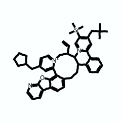 C=CC1C[n+]2ccc(CC3CCCC3)cc2-c2c(ccc3c2oc2ncccc23)CCC2c3ccccc3-c3cc(CC(C)(C)C)c([Si](C)(C)C)c[n+]3C12